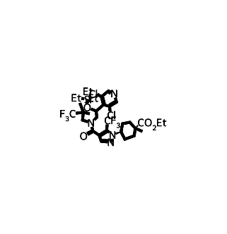 CCOC(=O)[C@]1(C)CC[C@@H](n2ncc(C(=O)N(CC(O[Si](CC)(CC)CC)c3c(Cl)cncc3Cl)CC(C)(C)C(F)(F)F)c2C(F)(F)F)CC1